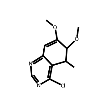 COC1=Cc2ncnc(Cl)c2C(C)C1OC